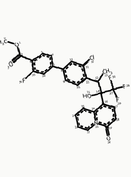 COC(=O)c1ccc(-c2ccc(C(C)C(O)(c3ccc(=O)n4ccccc34)C(F)(F)F)c(Cl)c2)cc1F